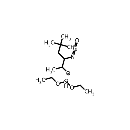 CCO[SiH](OCC)OC(C)C(CC(C)(C)C)N=C=O